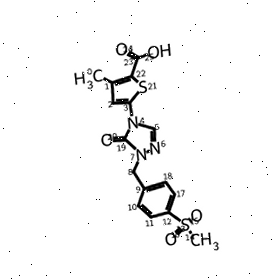 Cc1cc(-n2cnn(Cc3ccc(S(C)(=O)=O)cc3)c2=O)sc1C(=O)O